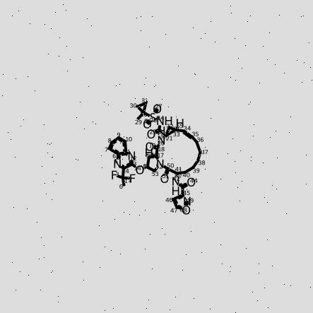 CC(F)(F)c1nc2ccccc2nc1O[C@@H]1C[C@H]2C(=O)N[C@]3(C(=O)NS(=O)(=O)C4(C)CC4)C[C@H]3C=CCCCCC[C@H](NC(=O)c3ccon3)C(=O)N2C1